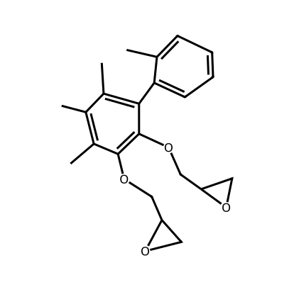 Cc1ccccc1-c1c(C)c(C)c(C)c(OCC2CO2)c1OCC1CO1